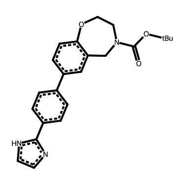 CC(C)(C)OC(=O)N1CCOc2ccc(-c3ccc(-c4ncc[nH]4)cc3)cc2C1